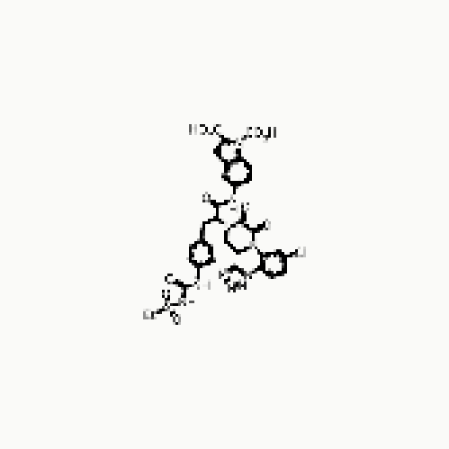 CCS(=O)(=O)NC(=O)Nc1ccc(CC(C(=O)Nc2ccc3c(c2)cc(C(=O)O)n3C(=O)O)N2CCN(c3cc(Cl)ccc3-n3cnnn3)C(=O)C2=O)cc1